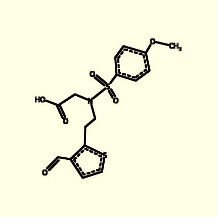 COc1ccc(S(=O)(=O)N(CCc2sccc2C=O)CC(=O)O)cc1